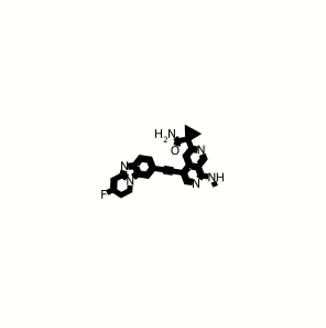 CNc1ncc(C#Cc2ccc3nc4n(c3c2)CCC(F)=C4)c2cc(C3(C(N)=O)CC3)ncc12